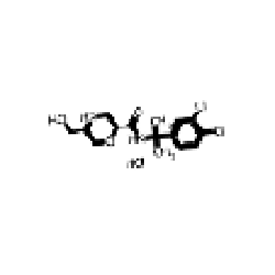 CC(C)(NC(=O)[C@@H]1CN[C@H](CO)CO1)c1ccc(Cl)c(Cl)c1.Cl